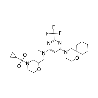 CN(CC1CN(S(=O)(=O)C2CC2)CCO1)c1cc(N2CCOC3(CCCCC3)C2)nc(C(F)(F)F)n1